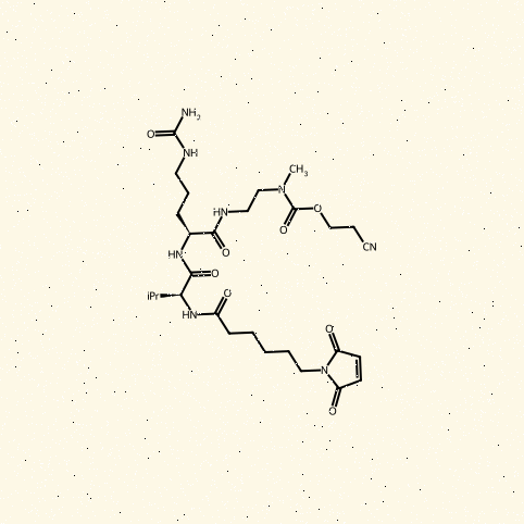 CC(C)[C@H](NC(=O)CCCCCN1C(=O)C=CC1=O)C(=O)N[C@@H](CCCNC(N)=O)C(=O)NCCN(C)C(=O)OCCC#N